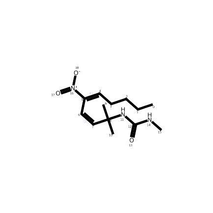 CCCC/C=C(\C=C/C(C)(C)NC(=O)NC)[N+](=O)[O-]